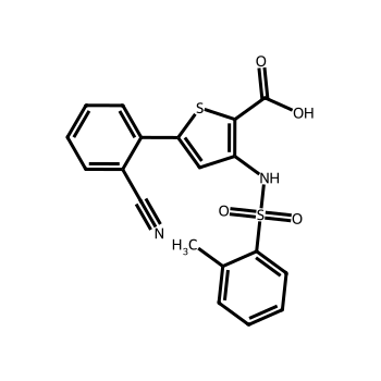 Cc1ccccc1S(=O)(=O)Nc1cc(-c2ccccc2C#N)sc1C(=O)O